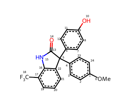 COc1ccc(C2(c3ccc(O)cc3)C(=O)Nc3c(C(F)(F)F)cccc32)cc1